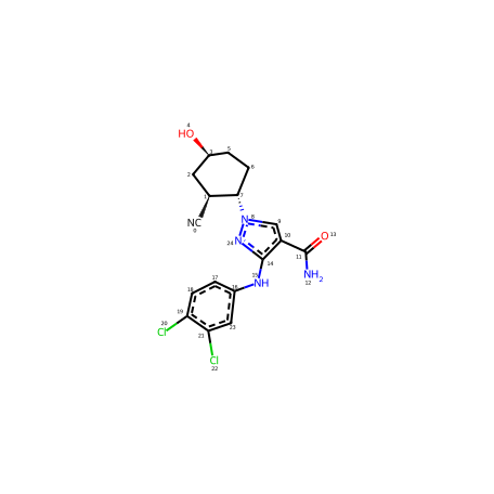 N#C[C@H]1C[C@@H](O)CC[C@@H]1n1cc(C(N)=O)c(Nc2ccc(Cl)c(Cl)c2)n1